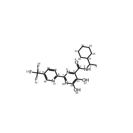 CC(NC(=O)c1nc(-c2ccc(C(F)(F)F)cn2)nc(O)c1O)C1CCCCC1